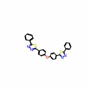 c1ccc(-c2nnc(-c3ccc(Oc4ccc(-c5nnc(-c6ccccc6)s5)cc4)cc3)s2)cc1